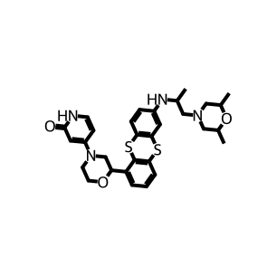 CC(CN1CC(C)OC(C)C1)Nc1ccc2c(c1)Sc1cccc(C3CN(c4cc[nH]c(=O)c4)CCO3)c1S2